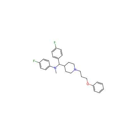 CN(c1ccc(F)cc1)C(c1ccc(F)cc1)C1CCN(CCCOc2ccccc2)CC1